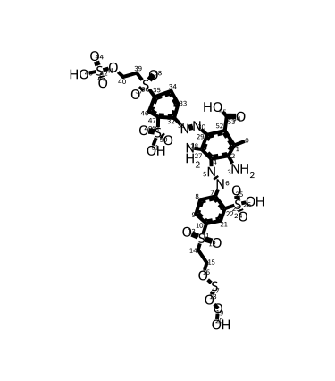 Cc1c(N)c(/N=N/c2ccc(S(=O)(=O)CCOSOOO)cc2S(=O)(=O)O)c(N)c(/N=N/c2ccc(S(=O)(=O)CCOS(=O)(=O)O)cc2S(=O)(=O)O)c1C(=O)O